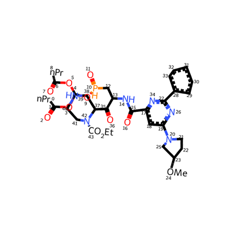 CCCC(=O)OC(OC(=O)CCC)O[PH](=O)CC(NC(=O)c1cc(N2CCC(OC)C2)nc(-c2ccccc2)n1)C(=O)C1CNCCN1C(=O)OCC